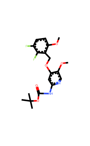 COc1cnc(NC(=O)OC(C)(C)C)cc1OCc1c(OC)ccc(F)c1F